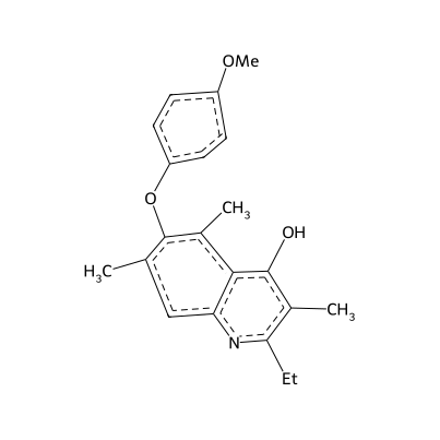 CCc1nc2cc(C)c(Oc3ccc(OC)cc3)c(C)c2c(O)c1C